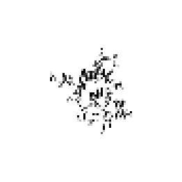 CC(O)(/C(=C/Nc1ccccc1F)N=N)c1ccc(C(=N)N)[nH]1